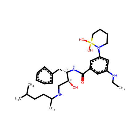 CCNc1cc(C(=O)N[C@@H](Cc2ccccc2)[C@@H](O)CNC(C)CCC(C)C)cc(N2CCCCS2(O)O)c1